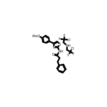 COc1ccc(-c2csc(NC(=O)CCc3ccccc3)n2)cc1.FC(F)(Cl)CNCC(F)(F)Cl